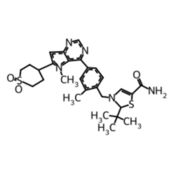 Cc1cc(-c2ncnc3cc(C4CCS(=O)(=O)CC4)n(C)c23)ccc1CN1C=C(C(N)=O)SC1C(C)(C)C